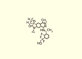 COC1(C)C(=O)N(C2CC2)c2cc3c(N[C@H](C)c4cccc(C(F)(F)CO)c4F)nnc(C)c3cc21